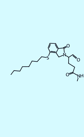 CCCCCCCCSc1cccc2c1CN(C(C=O)CCC(=O)NC)C2=O